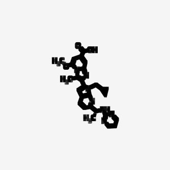 COc1cc(C(=O)O)cc2nc(-c3cc4ccc([C@@H](C)Nc5ncccn5)nc4n3CC3CC3)c(C)n12